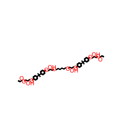 C=CC(=O)OCC(O)COc1ccc(C(C)(C)c2ccc(OCC(O)COCCCCCCOCC(O)COc3ccc(C(C)(C)c4ccc(OCC(O)COC(=O)C=C)cc4)cc3)cc2)cc1